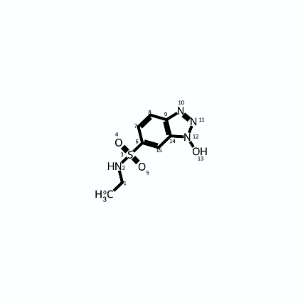 CCNS(=O)(=O)c1ccc2nnn(O)c2c1